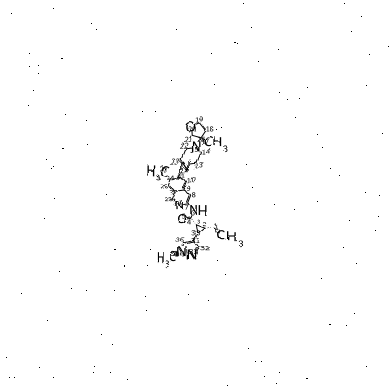 CC[C@H]1[C@@H](C(=O)Nc2cc3cc(N4CCN([C@@]5(C)CCOC5)CC4)c(C)cc3cn2)[C@@H]1c1cnn(C)c1